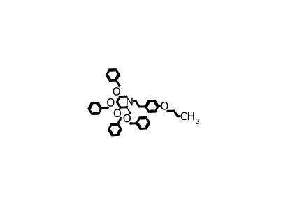 CCCCOc1ccc(CCN2C[C@H](OCc3ccccc3)[C@@H](OCc3ccccc3)[C@H](OCc3ccccc3)[C@@H]2COCc2ccccc2)cc1